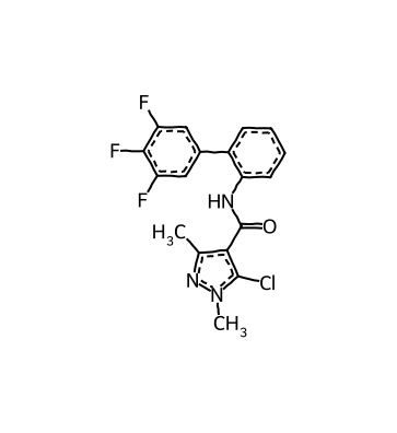 Cc1nn(C)c(Cl)c1C(=O)Nc1ccccc1-c1cc(F)c(F)c(F)c1